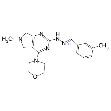 Cc1cccc(/C=N/Nc2nc3c(c(N4CCOCC4)n2)CN(C)C3)c1